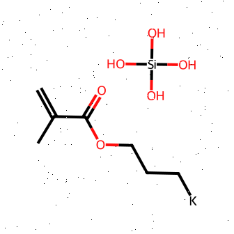 C=C(C)C(=O)OCC[CH2][K].O[Si](O)(O)O